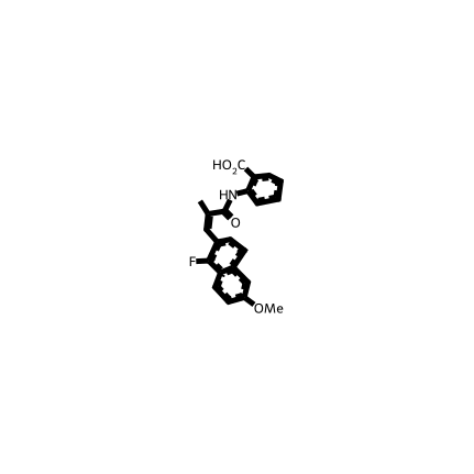 COc1ccc2c(F)c(C=C(C)C(=O)Nc3ccccc3C(=O)O)ccc2c1